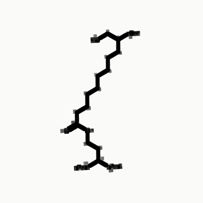 CCCCCCCCCCC(CO)CCCCCCCCC(=O)OCCC(CCCCC)CCCCC